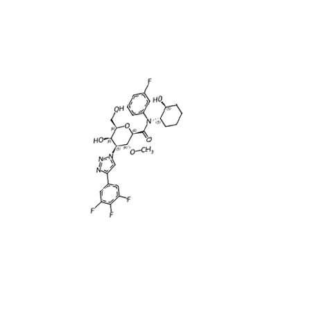 CO[C@@H]1[C@@H](n2cc(-c3cc(F)c(F)c(F)c3)nn2)[C@@H](O)[C@@H](CO)O[C@H]1C(=O)N(c1cccc(F)c1)[C@H]1CCCC[C@@H]1O